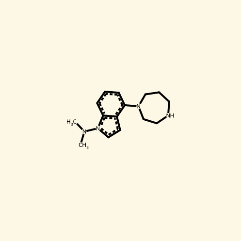 CN(C)n1ccc2c(N3CCCNCC3)cccc21